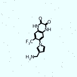 NCc1ccn(-c2cc3[nH]c(=O)c(=O)[nH]c3cc2C(F)(F)F)c1